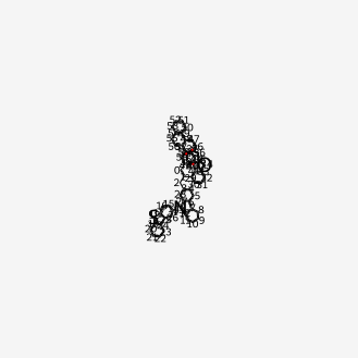 C(=C(\Cc1ccc2c3ccccc3n(-c3ccc4sc5ccccc5c4c3)c2c1)c1cccc2oc3ccccc3c12)/c1ccc2ccc3c4ccccc4ccc3c2c1